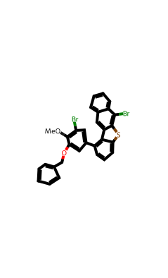 COc1c(Br)cc(-c2cccc3sc4c(Br)c5ccccc5cc4c23)cc1OCc1ccccc1